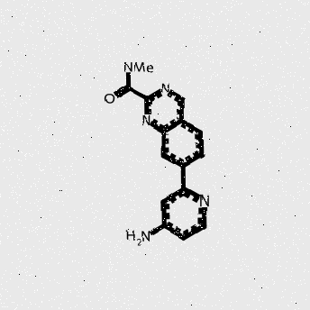 CNC(=O)c1ncc2ccc(-c3cc(N)ccn3)cc2n1